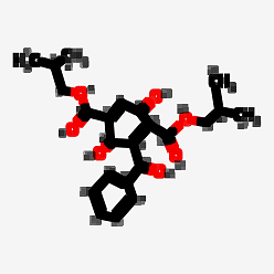 CC(C)COC(=O)C1=CC(=O)C(C(=O)OCC(C)C)=C(C(=O)c2ccccc2)C1=O